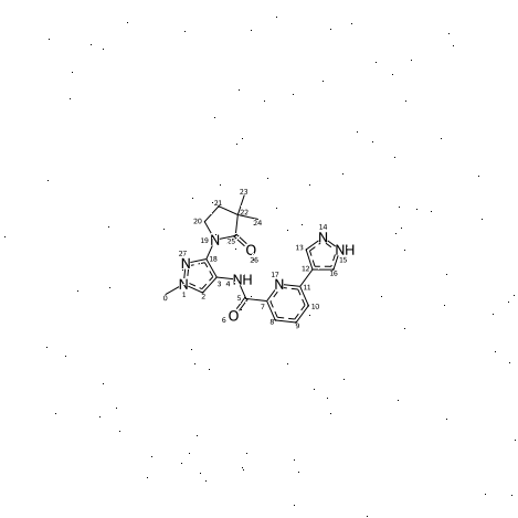 Cn1cc(NC(=O)c2cccc(-c3cn[nH]c3)n2)c(N2CCC(C)(C)C2=O)n1